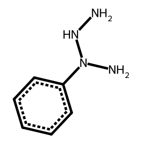 NNN(N)c1ccccc1